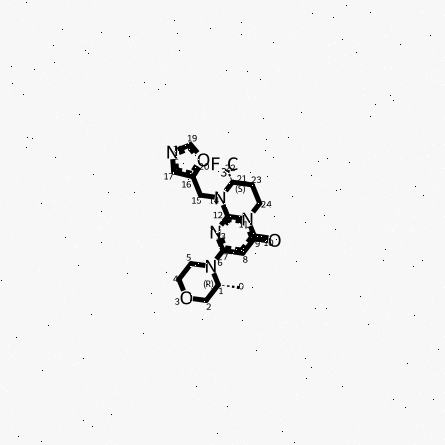 C[C@@H]1COCCN1c1cc(=O)n2c(n1)N(Cc1cnco1)[C@H](C(F)(F)F)CC2